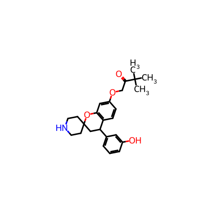 CC(C)(C)C(=O)COc1ccc2c(c1)OC1(CCNCC1)CC2c1cccc(O)c1